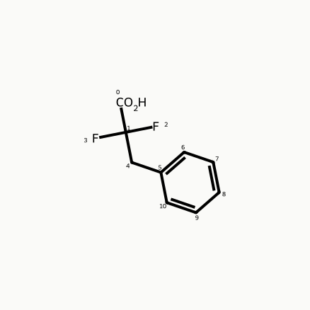 O=C(O)C(F)(F)Cc1ccccc1